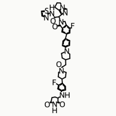 O=C1CCC(Nc2ccc(C3CCN(C(=O)CC4CCN(c5ccc(-c6cc(F)c7c(c6)C(=O)N(C(C(=O)Nc6nccs6)c6ncn8c6CCC8)C7)cc5)CC4)CC3)c(F)c2)C(=O)N1